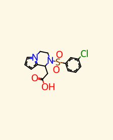 O=C(O)CC1c2cccn2CCN1S(=O)(=O)c1cccc(Cl)c1